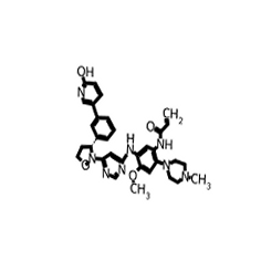 C=CC(=O)Nc1cc(Nc2cc(N3OCC[C@@H]3c3cccc(-c4ccc(O)nc4)c3)ncn2)c(OC)cc1N1CCN(C)CC1